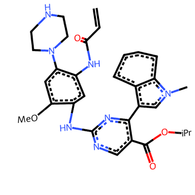 C=CC(=O)Nc1cc(Nc2ncc(C(=O)OC(C)C)c(-c3cn(C)c4ccccc34)n2)c(OC)cc1N1CCNCC1